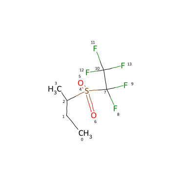 CCC(C)S(=O)(=O)C(F)(F)C(F)(F)F